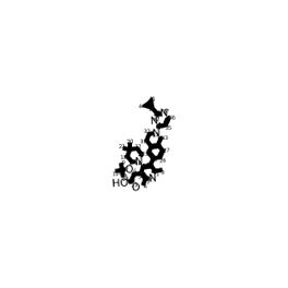 Cc1nc(C)c([C@H](OC(C)(C)C)C(=O)O)c(N2CCC(C)(C)CC2)c1-c1ccc2c(c1)CCN(c1ccnc(C3CC3)n1)C2